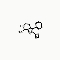 CC1NCCc2c1nn(C13CC(C1)C3)c2-c1ccccc1